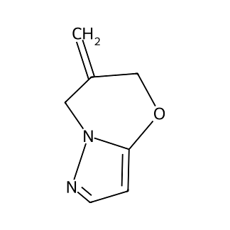 C=C1COc2ccnn2C1